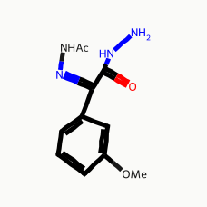 COc1cccc(C(=NNC(C)=O)C(=O)NN)c1